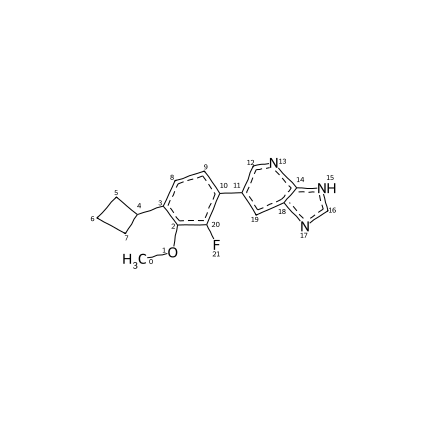 COc1c(C2CCC2)ccc(-c2cnc3[nH]cnc3c2)c1F